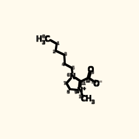 CCCCCCN1CC[N+](C)=C1C(=O)[O-]